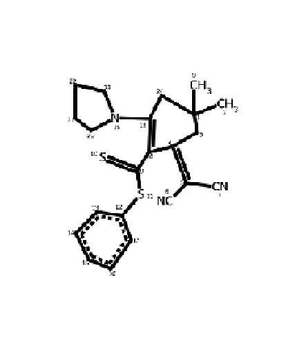 CC1(C)CC(=C(C#N)C#N)C(C(=S)Sc2ccccc2)=C(N2CCCC2)C1